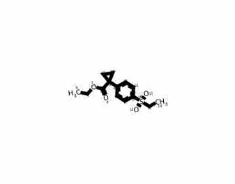 CCOC(=O)C1(c2ccc(S(=O)(=O)CC)cc2)CC1